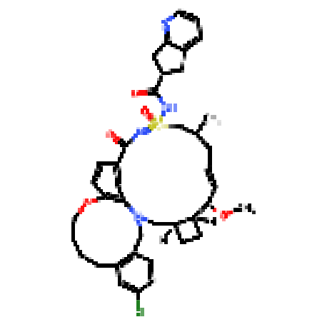 CO[C@H]1/C=C/C[C@H](C)CS(=O)(NC(=O)C2Cc3cccnc3C2)=NC(=O)c2ccc3c(c2)N(Cc2ccc(Cl)cc2CCCCO3)C[C@@H]2CC[C@H]21